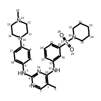 Cc1cnc(Nc2ccc(N3CCN(C)CC3)cc2)nc1Nc1cccc(S(=O)(=O)N2CCCCC2)c1